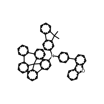 CC1(C)c2ccccc2-c2ccc(N(c3ccc(-c4cccc5oc6ccccc6c45)cc3)c3ccc4c(c3)C3(c5ccccc5-c5ccccc5-c5ccccc53)c3ccccc3-4)cc21